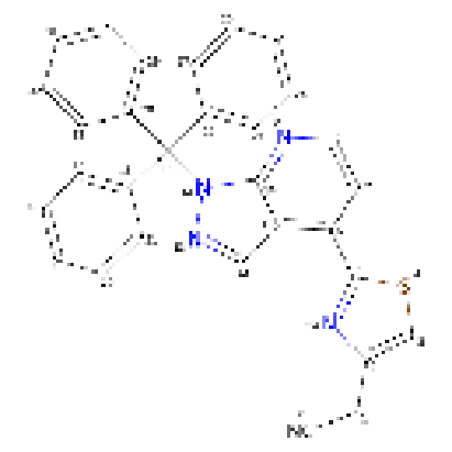 N#CCc1csc(-c2ccnc3c2cnn3C(c2ccccc2)(c2ccccc2)c2ccccc2)n1